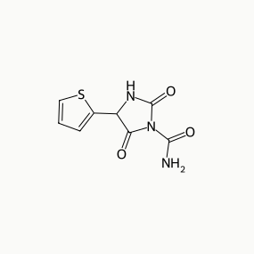 NC(=O)N1C(=O)NC(c2cccs2)C1=O